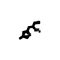 Cn1cnc(CC(N)C=O)c1